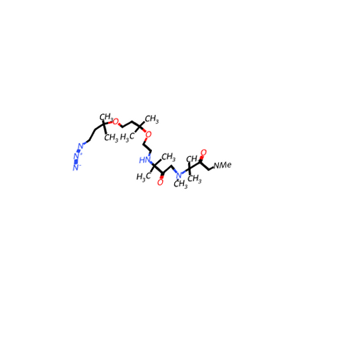 CNCC(=O)C(C)(C)N(C)CC(=O)C(C)(C)NCCOC(C)(C)CCOC(C)(C)CCN=[N+]=[N-]